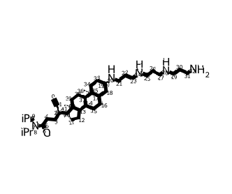 C#C[C@H](CCC(=O)N(C(C)C)C(C)C)[C@H]1CCC2C3CCC4C[C@@H](NCCCNCCCNCCCN)CC[C@]4(C)C3CC[C@@]21C